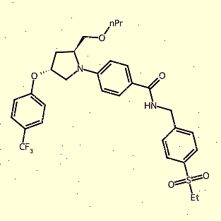 CCCOC[C@@H]1C[C@@H](Oc2ccc(C(F)(F)F)cc2)CN1c1ccc(C(=O)NCc2ccc(S(=O)(=O)CC)cc2)cc1